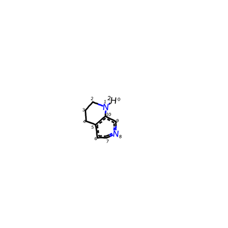 [2H]N1CCCc2ccncc21